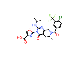 CC(C)Nc1nc2c(c(=O)n1-c1nc(C(=O)O)co1)C[C@@H](C)N(C(=O)c1ccc(Cl)c(C(F)(F)F)c1)C2